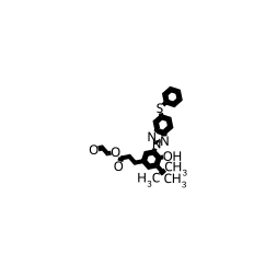 CC(C)(C)c1cc(CCC(=O)OCC=O)cc(-n2nc3ccc(Sc4ccccc4)cc3n2)c1O